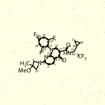 COC1(C)CN(c2ccc3c(=O)c(C(=O)N[C@H](C4CC4)C(F)(F)F)cn(-c4c(F)cc(F)cc4F)c3n2)C1